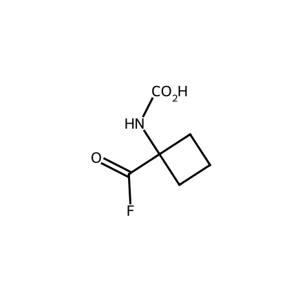 O=C(O)NC1(C(=O)F)CCC1